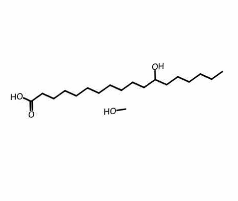 CCCCCCC(O)CCCCCCCCCCC(=O)O.CO